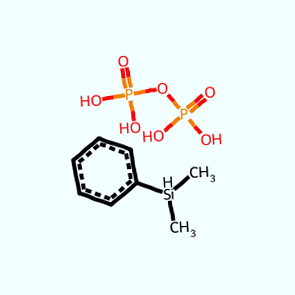 C[SiH](C)c1ccccc1.O=P(O)(O)OP(=O)(O)O